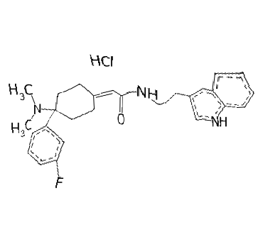 CN(C)C1(c2cccc(F)c2)CCC(=CC(=O)NCCc2c[nH]c3ccccc23)CC1.Cl